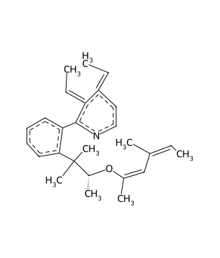 C/C=C(C)\C=C(\C)O[C@H](C)C(C)(C)c1ccccc1-c1nccc(=C/C)/c1=C\C